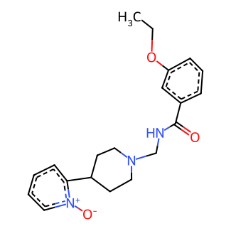 CCOc1cccc(C(=O)NCN2CCC(c3cccc[n+]3[O-])CC2)c1